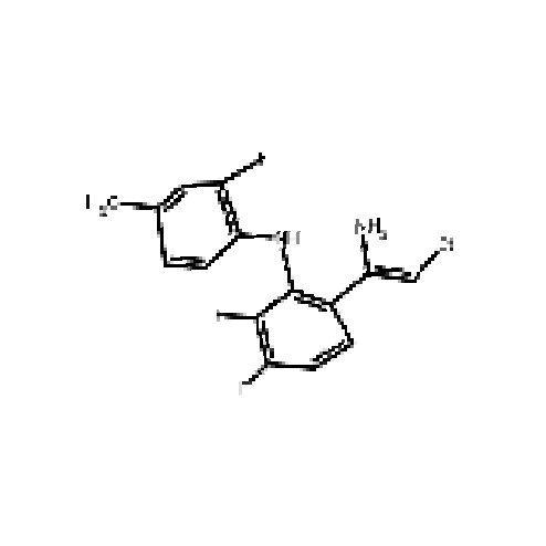 CC/C=C(\N)c1ccc(F)c(F)c1Nc1ccc(C)cc1F